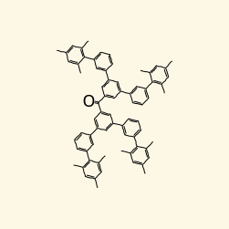 Cc1cc(C)c(-c2cccc(-c3cc(C(=O)c4cc(-c5cccc(-c6c(C)cc(C)cc6C)c5)cc(-c5cccc(-c6c(C)cc(C)cc6C)c5)c4)cc(-c4cccc(-c5c(C)cc(C)cc5C)c4)c3)c2)c(C)c1